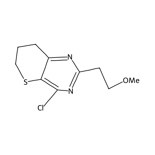 COCCc1nc(Cl)c2c(n1)CCCS2